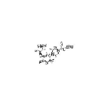 CC(C)(C)OC(=O)N1CCN(c2cc(O[C@H]3CCNC3)c(F)cc2F)CC1